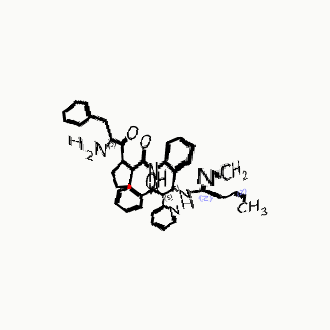 C=N/C(=C\C=C/C)N[C@@H](c1ccccc1NC(=O)C1CCCC1C(=O)[C@@H](N)Cc1ccccc1)[C@@H](c1ccccn1)[C@@H](O)c1ccccc1